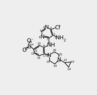 Nc1c(Cl)ncnc1Nc1cc([N+](=O)[O-])ccc1N1CCN(C2CC2)CC1